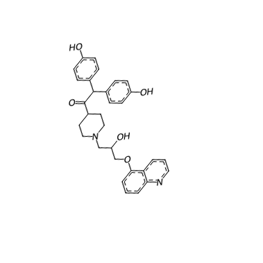 O=C(C1CCN(CC(O)COc2cccc3ncccc23)CC1)C(c1ccc(O)cc1)c1ccc(O)cc1